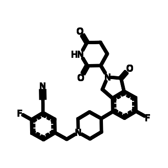 N#Cc1cc(CN2CCC(c3cc(F)cc4c3CN(C3CCC(=O)NC3=O)C4=O)CC2)ccc1F